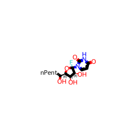 CCCCCC(O)[C@H]1O[C@@](F)(n2ccc(=O)[nH]c2=O)[C@H](O)[C@@H]1O